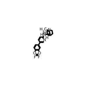 C[C@@H]1[C@@H](Nc2ccc(-c3ccc4c(c3)OC(F)(F)O4)cn2)C2CCN1CC2